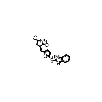 O=C1CC(=Cc2ccc(Sc3nc4ccccc4[nH]3)o2)C(=O)N1